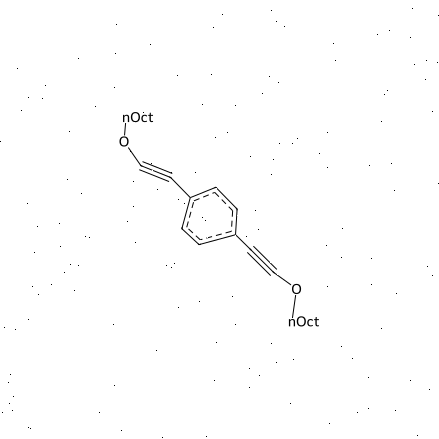 CCCCCCCCOC#Cc1ccc(C#COCCCCCCCC)cc1